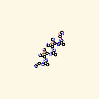 c1cnc2c(c1)oc1ccc(-c3ncc4c5ccccc5c5cnc(-c6cc(-c7cc(-c8ncc9c%10ccccc%10c%10cnc(-c%11cc(-c%12cc(-c%13ncc%14c%15ccccc%15c%15cnc(-c%16ccc%17sc%18cnccc%18c%17c%16)nc%15c%14n%13)cc%13c%12sc%12cnccc%12%13)c%12sc%13ncccc%13c%12c%11)nc%10c9n8)cc8c7sc7ncccc78)c7oc8cccnc8c7c6)nc5c4n3)cc12